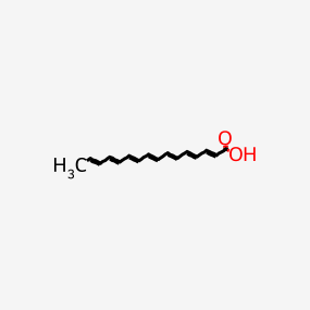 CC=CC=CC=CC=CC=CC=CC=CC(=O)O